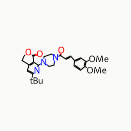 COc1ccc(C=CC(=O)N2CCN(c3nc(C(C)(C)C)cc4c3C(=O)OCC4)CC2)cc1OC